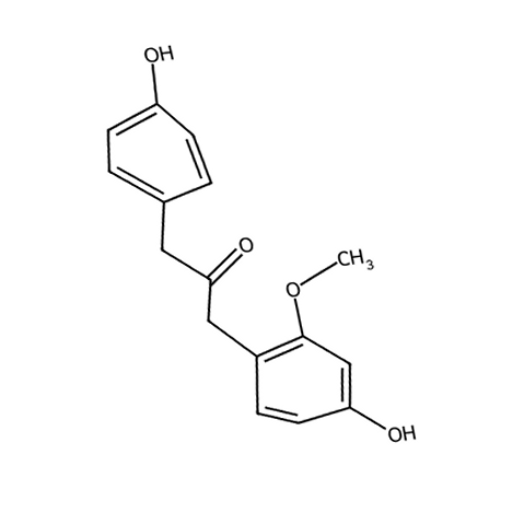 COc1cc(O)ccc1CC(=O)Cc1ccc(O)cc1